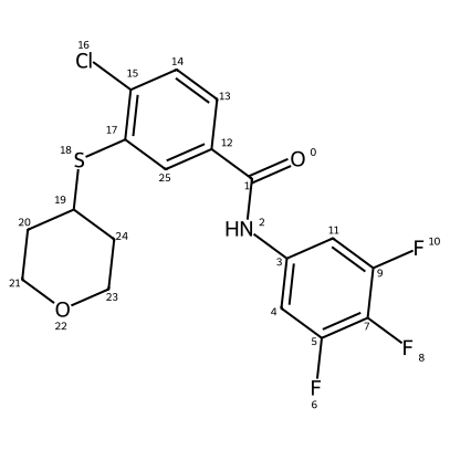 O=C(Nc1cc(F)c(F)c(F)c1)c1ccc(Cl)c(SC2CCOCC2)c1